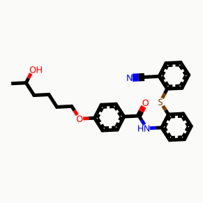 CC(O)CCCCOc1ccc(C(=O)Nc2ccccc2Sc2ccccc2C#N)cc1